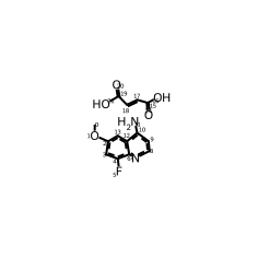 COc1cc(F)c2nccc(N)c2c1.O=C(O)C=CC(=O)O